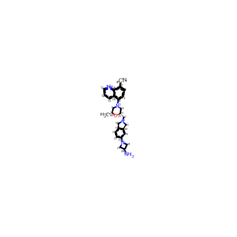 C[C@@H]1CN(c2ccc(C#N)c3ncccc23)C[C@H](CN2Cc3ccc(N4CC(N)C4)cc3C2)O1